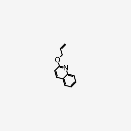 C=CCOc1ccc2ccccc2n1